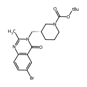 Cc1nc2ccc(Br)cc2c(=O)n1C[C@H]1CCCN(C(=O)OC(C)(C)C)C1